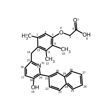 Cc1cc(OCC(=O)O)c(C)c(C)c1Cc1ccc(O)c(-c2ccc3ccccc3c2)n1